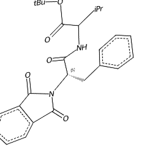 CC(C)C(NC(=O)[C@H](Cc1ccccc1)N1C(=O)c2ccccc2C1=O)C(=O)OC(C)(C)C